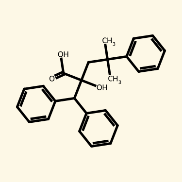 CC(C)(CC(O)(C(=O)O)C(c1ccccc1)c1ccccc1)c1ccccc1